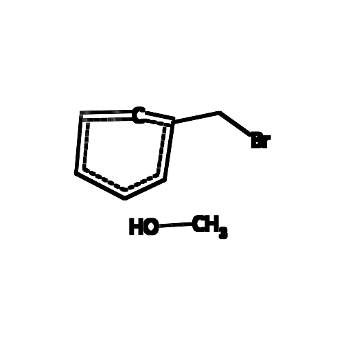 BrCc1ccccc1.CO